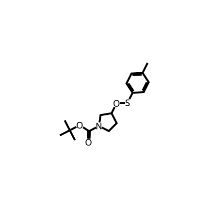 Cc1ccc(SOC2CCN(C(=O)OC(C)(C)C)C2)cc1